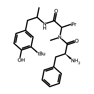 CC(Cc1ccc(O)c(C(C)(C)C)c1)NC(=O)C(C(C)C)N(C)C(=O)[C@@H](N)Cc1ccccc1